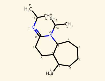 BC1CCCCC2C1CC/C(=N/C(C)C)N2C(C)C